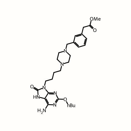 CCCCOc1nc(N)c2[nH]c(=O)n(CCCCN3CCN(Cc4cccc(CC(=O)OC)c4)CC3)c2n1